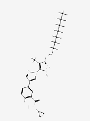 Cn1nc(OCC(F)(F)C(F)(F)C(F)(F)C(F)(F)C(F)(F)C(F)(F)C(F)(F)F)c(C(F)(F)F)c1-n1cc(-c2ccc(Cl)c(C(=O)NC3CC3)c2)cn1